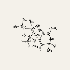 C[SiH](C)[C@@]1(n2cnc3c2N=[C]([SnH3])NC3(N)Cl)O[C@H](C(O)C(C)(C)C)[C@](O)(C(C)(C)C)[C@]1(O)C(C)(C)C